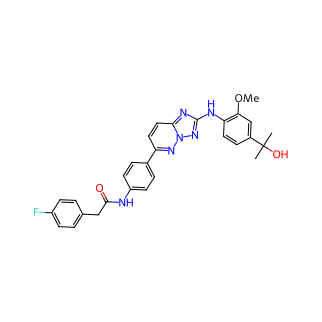 COc1cc(C(C)(C)O)ccc1Nc1nc2ccc(-c3ccc(NC(=O)Cc4ccc(F)cc4)cc3)nn2n1